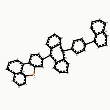 c1ccc2c(-c3ccc(-c4c5ccccc5c(-c5ccc6c(c5)Sc5cccc7cccc-6c57)c5ccccc45)cc3)cccc2c1